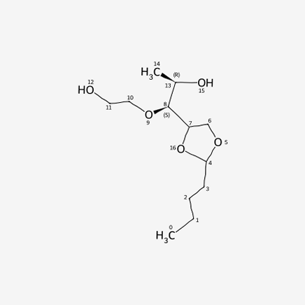 CCCCC1OCC([C@@H](OCCO)[C@@H](C)O)O1